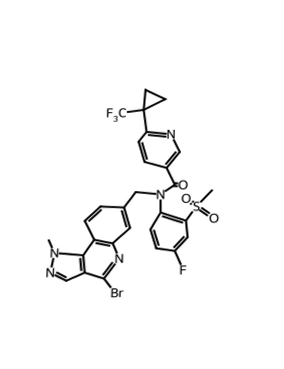 Cn1ncc2c(Br)nc3cc(CN(C(=O)c4ccc(C5(C(F)(F)F)CC5)nc4)c4ccc(F)cc4S(C)(=O)=O)ccc3c21